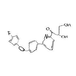 O=C(c1cccc(-c2ccc(Oc3ccc(F)cc3)cc2)n1)C(O)CO